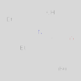 CCC(C)CC(=O)N(C)C(CC)CC